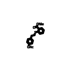 COC(=O)c1ccccc1SCCc1ccc(OC(C)=O)cc1